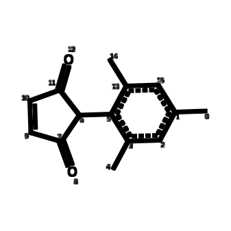 Cc1cc(C)c(C2C(=O)C=CC2=O)c(C)c1